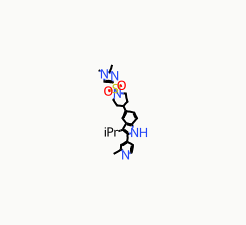 Cc1cc(-c2[nH]c3ccc(C4CCN(S(=O)(=O)c5cn(C)c(C)n5)CC4)cc3c2C(C)C)ccn1